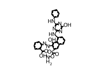 NOS(=O)(=O)c1cc2cccc(Nc3nc(O)nc(Nc4ccccc4)n3)c2c(O)c1N=Nc1ccccc1C(=O)O